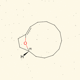 C1=C2CC[C@@H](CCCCCCCCC1)O2